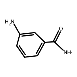 [NH]C(=O)c1cccc(N)c1